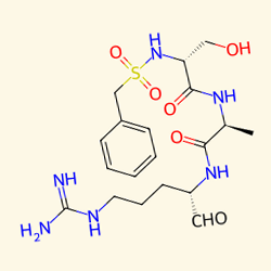 C[C@H](NC(=O)[C@@H](CO)NS(=O)(=O)Cc1ccccc1)C(=O)N[C@H](C=O)CCCNC(=N)N